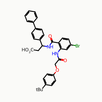 CC(C)(C)c1ccc(OCC(=O)Nc2cc(Br)ccc2C(=O)NC(CC(=O)O)c2ccc(-c3ccccc3)cc2)cc1